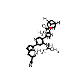 CC(=O)NC1[C@@H]2C[C@H]1CN(c1nnc(-c3cnc(-c4ccc5cc(C#N)cnn45)cc3NC(C)C)s1)C2